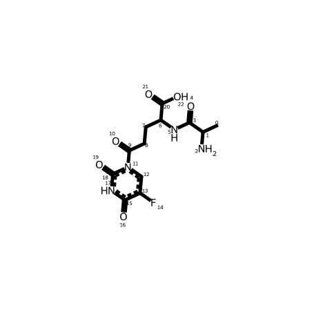 CC(N)C(=O)NC(CCC(=O)n1cc(F)c(=O)[nH]c1=O)C(=O)O